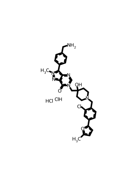 Cc1ccc(-c2ccc(CN3CCC(O)(Cn4cnc5c(-c6ccc(CN)cc6)n(C)nc5c4=O)CC3)c(Cl)c2)o1.Cl.Cl